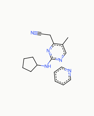 Cc1cnc(NC2CCCC2)nc1CC#N.c1ccncc1